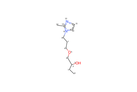 CCC(O)COCCCn1ccnc1C